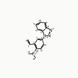 C=Cc1cc(-n2nnc3ccccc32)ccc1P(C)C